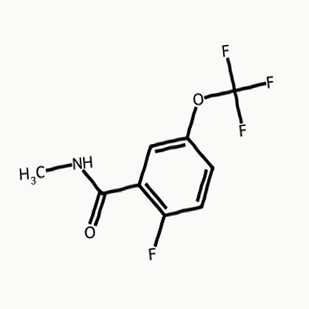 CNC(=O)c1cc(OC(F)(F)F)ccc1F